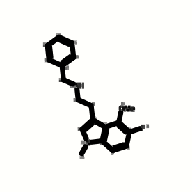 COc1c(F)ccc2c1c(CCNCc1ccccc1)cn2C